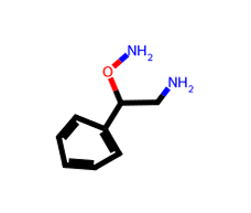 NCC(ON)c1ccccc1